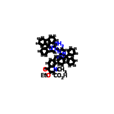 CCOc1c(C(=O)O)n(C)c2cc(CNc3nccn3C(c3ccccc3)(c3ccccc3)c3ccccc3)ccc2c1=O.Nc1nccn1C(c1ccccc1)(c1ccccc1)c1ccccc1